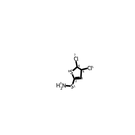 NSC1=CC(Cl)C(Cl)S1